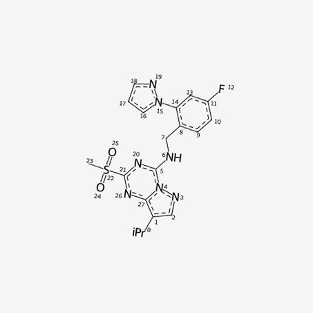 CC(C)c1cnn2c(NCc3ccc(F)cc3-n3cccn3)nc(S(C)(=O)=O)nc12